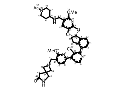 COc1nc(-c2ccnc(-c3cccc4c3CC[C@@H]4Oc3nc(OC)c(CNC4CCN(C(C)=O)CC4)cc3C(F)(F)F)c2Cl)ccc1CN1CC2(CNC(=O)C2)C1